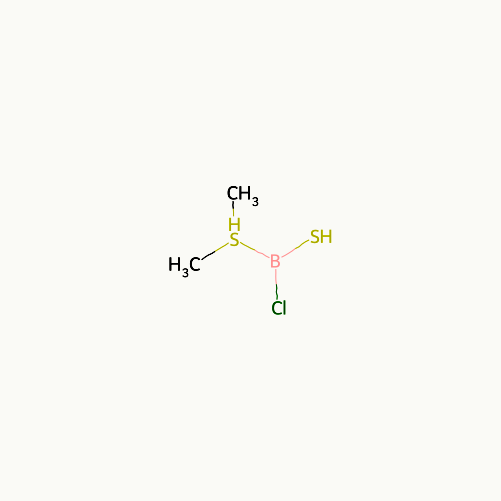 C[SH](C)B(S)Cl